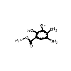 Bc1cc(C(=O)OC)c(O)c(B)c1B